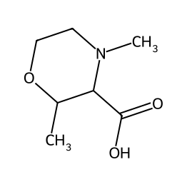 CC1OCCN(C)C1C(=O)O